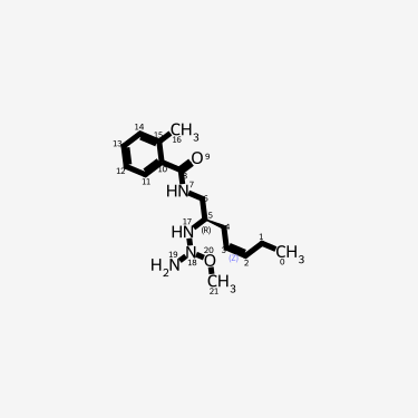 CC/C=C\C[C@H](CNC(=O)c1ccccc1C)NN(N)OC